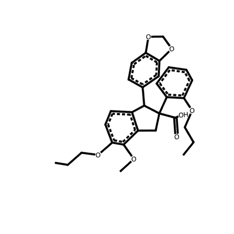 CCCOc1ccccc1C1(C(=O)O)Cc2c(ccc(OCCC)c2OC)C1c1ccc2c(c1)OCO2